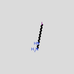 NCCCNCCCCCCCCCCCCCI